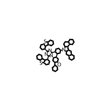 c1ccc2cc3c(cc2c1)c1c2ccccc2ccc1n3-c1ccc(-c2nc(-c3cccc4sc5ccccc5c34)nc(-c3cccc4sc5ccccc5c34)n2)c(-c2ccc3c(c2)oc2ccccc23)c1